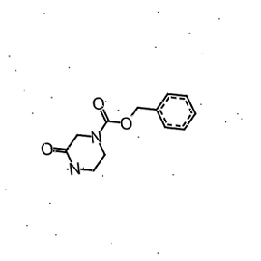 O=C1CN(C(=O)OCc2ccccc2)CC[N]1